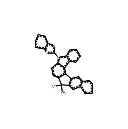 CC1(C)c2cc3ccccc3cc2-c2c1ccc1c2c2ccccc2n1-c1nc2ccccc2o1